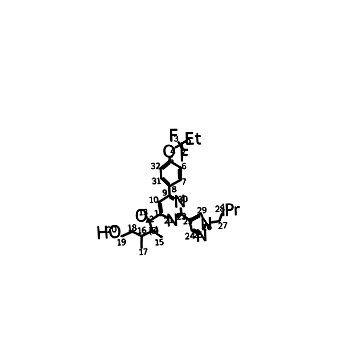 CCC(F)(F)Oc1ccc(-c2cc(C(=O)[C@@H](C)C(C)CCO)nc(-c3cnn(CC(C)C)c3)n2)cc1